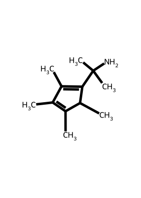 CC1=C(C)C(C)C(C(C)(C)N)=C1C